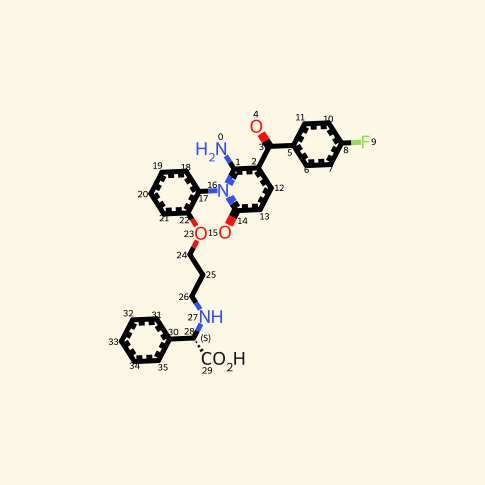 Nc1c(C(=O)c2ccc(F)cc2)ccc(=O)n1-c1ccccc1OCCCN[C@H](C(=O)O)c1ccccc1